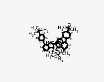 CC1=Cc2c(-c3ccc(C(C)(C)C)cc3)ccc(C)c2[CH]1[Zr]([Cl])([Cl])([CH]1C(C2C=CCC2)=Cc2c(-c3ccc(C(C)(C)C)cc3)cccc21)[SiH](C)C